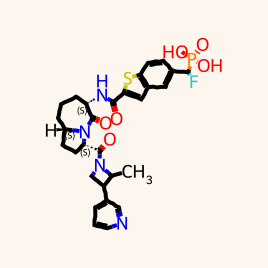 CC1C(c2cccnc2)CN1C(=O)[C@@H]1CC[C@@H]2CCC[C@H](NC(=O)c3cc4cc(C(F)P(=O)(O)O)ccc4s3)C(=O)N21